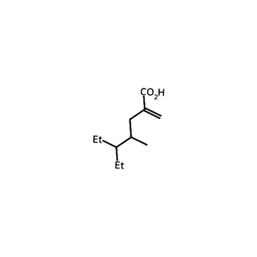 C=C(CC(C)C(CC)CC)C(=O)O